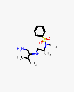 CC(C)C(CN)NC[C@H](C)N(C)S(=O)(=O)c1ccccc1